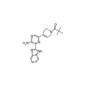 CC(C)(C)C(=O)N1CC=C(c2cnc(N)c(-c3nc4ccccc4[nH]3)n2)CC1